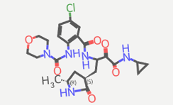 C[C@@H]1C[C@@H](CC(NC(=O)c2cc(Cl)ccc2NC(=O)N2CCOCC2)C(=O)C(=O)NC2CC2)C(=O)N1